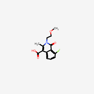 COCCn1c(C)c(C(=O)O)c2cccc(F)c2c1=O